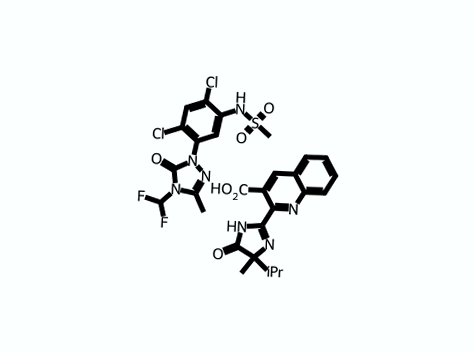 CC(C)C1(C)N=C(c2nc3ccccc3cc2C(=O)O)NC1=O.Cc1nn(-c2cc(NS(C)(=O)=O)c(Cl)cc2Cl)c(=O)n1C(F)F